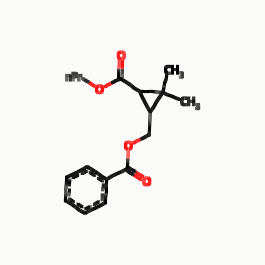 CCCOC(=O)C1C(COC(=O)c2ccccc2)C1(C)C